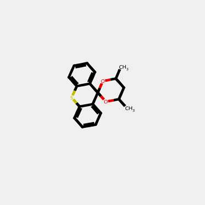 CC1CC(C)OC2(O1)c1ccccc1Sc1ccccc12